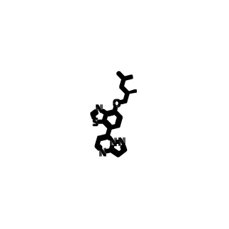 CC(C)C[C@@H](C)COc1ccc(-c2ccnc3ccnn23)c2scnc12